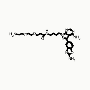 NCCOCCOCCC(=O)NCCCCn1nc(-c2ccc3oc(N)nc3c2)c2c(N)ncnc21